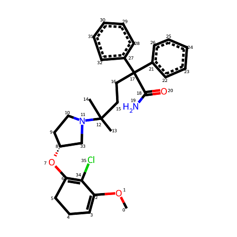 COC1=CCCC(O[C@@H]2CCN(C(C)(C)CCC(C(N)=O)(c3ccccc3)c3ccccc3)C2)=C1Cl